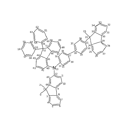 CC1(C)c2ccccc2-c2ccc(N(c3ccc(-c4ccc(C5(C)c6ccccc6-c6ccccc65)cc4)cc3)c3cccc4c3-c3ccccc3C4(c3ccccc3)c3ccccc3)cc21